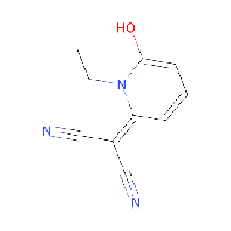 CCN1C(O)=CC=CC1=C(C#N)C#N